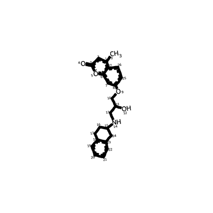 Cc1cc(=O)oc2cc(OCC(O)CNC3CCc4ccccc4C3)ccc12